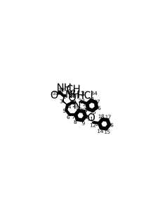 CN[C@@H](C[C@@H]1CCc2ccc(OCc3ccccc3)cc2N(Cc2ccccc2)C1=O)C(N)=O.Cl